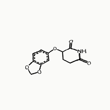 O=C1CCC(Oc2ccc3c(c2)OCO3)C(=O)N1